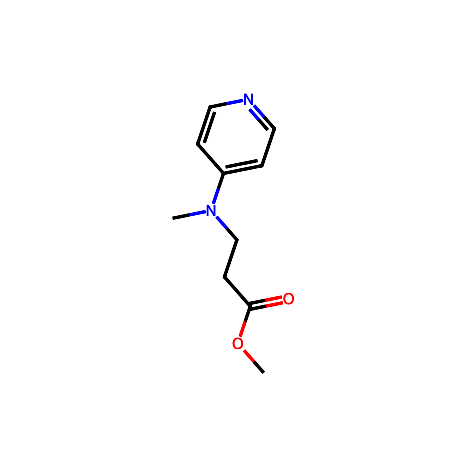 COC(=O)CCN(C)c1ccncc1